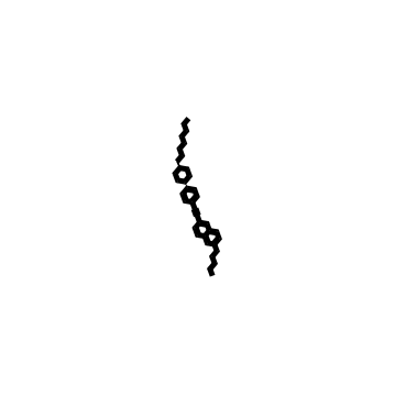 CCCCCCCC[C@H]1CC[C@H](c2ccc(C#Cc3ccc4cc(CCCCC)ccc4c3)cc2)CC1